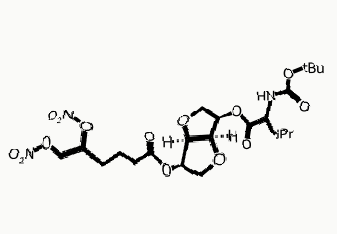 CC(C)C(NC(=O)OC(C)(C)C)C(=O)O[C@@H]1CO[C@H]2[C@@H]1OC[C@H]2OC(=O)CCCC(CO[N+](=O)[O-])O[N+](=O)[O-]